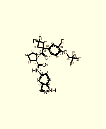 O=C(Nc1ccc2[nH]ncc2n1)[C@H]1CCCN1C(=O)C1(c2ccc(OCC(F)(F)F)c(F)c2)CC(F)(F)C1